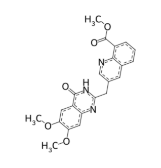 COC(=O)c1cccc2cc(Cc3nc4cc(OC)c(OC)cc4c(=O)[nH]3)cnc12